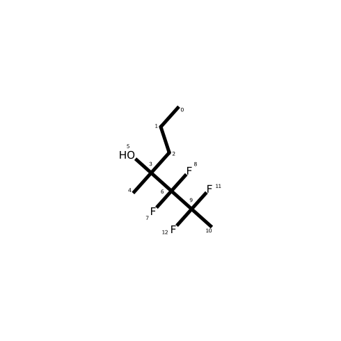 CCCC(C)(O)C(F)(F)C(C)(F)F